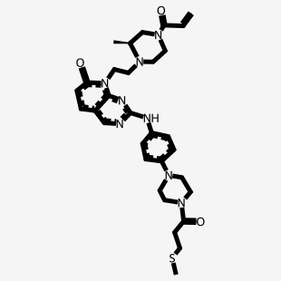 C=CC(=O)N1CCN(CCn2c(=O)ccc3cnc(Nc4ccc(N5CCN(C(=O)CCSC)CC5)cc4)nc32)[C@@H](C)C1